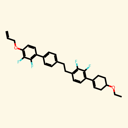 C=CCOc1ccc(-c2ccc(CCc3ccc(C4=CCC(OCC)CC4)c(F)c3F)cc2)c(F)c1F